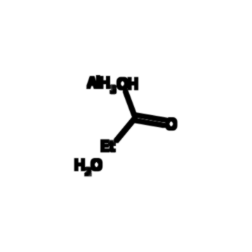 CCC(=O)O.O.[AlH3]